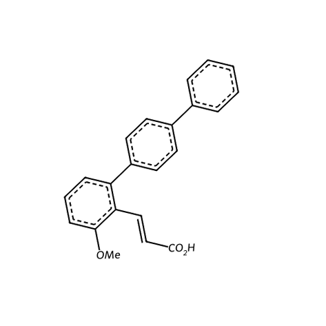 COc1cccc(-c2ccc(-c3ccccc3)cc2)c1C=CC(=O)O